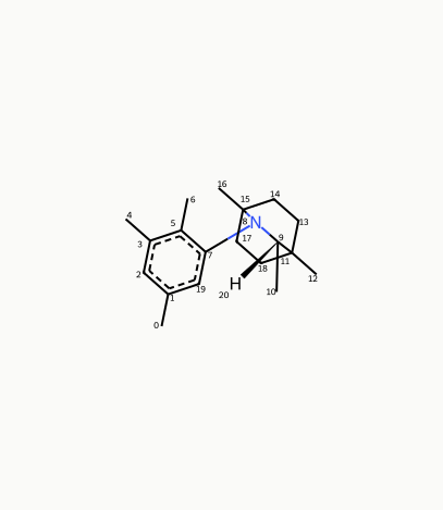 Cc1cc(C)c(C)c(N2[C@@H](C)C3(C)CCC2(C)CC3)c1